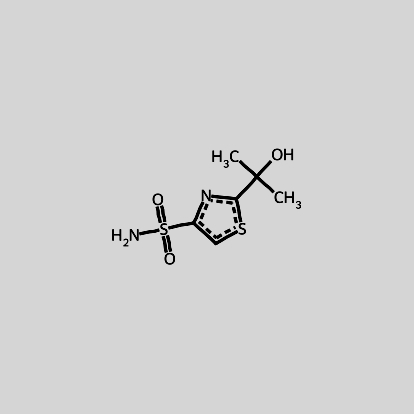 CC(C)(O)c1nc(S(N)(=O)=O)cs1